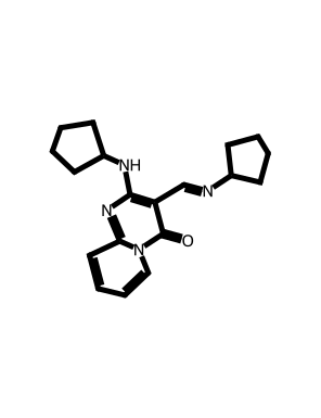 O=c1c(C=NC2CCCC2)c(NC2CCCC2)nc2ccccn12